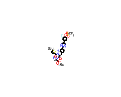 C[C@@H](NC(=O)[C@H](Cc1ccc(-c2ncc(-c3ccc(OS(=O)(=O)C(F)(F)F)c(F)c3)cn2)cc1)NC(=O)c1ccc(C(C)(C)C)s1)C(=O)OC(C)(C)C